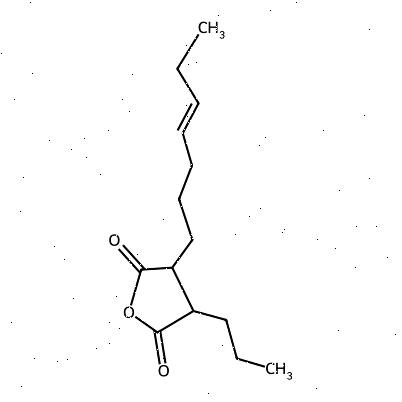 CCC=CCCCC1C(=O)OC(=O)C1CCC